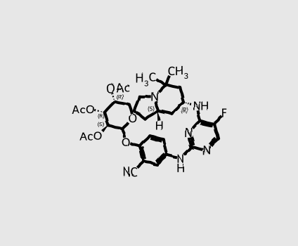 CC(=O)O[C@H]1[C@H](OC(C)=O)C(Oc2ccc(Nc3ncc(F)c(N[C@@H]4C[C@@H]5CCCN5C(C)(C)C4)n3)cc2C#N)OC[C@H]1OC(C)=O